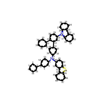 c1ccc(-c2ccc(N(c3ccc(-c4cc(-n5c6ccccc6c6ccccc65)ccc4-c4ccccc4)cc3)c3ccc4sc5ccccc5c4c3)cc2)cc1